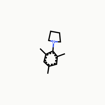 Cc1cc(C)c(N2CCCC2)c(C)c1